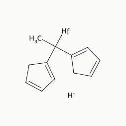 C[C]([Hf])(C1=CC=CC1)C1=CC=CC1.[H-]